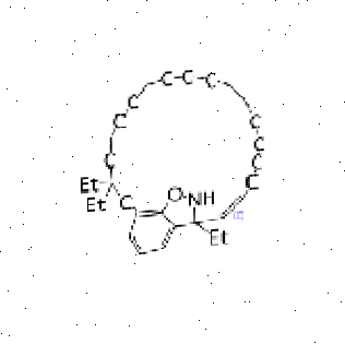 CCC1(CC)CCCCCCCCCCCCCC/C=C\C2(CC)NOc3c(cccc32)C1